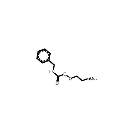 CCCCCCCCCCOOC(=O)NCc1ccccc1